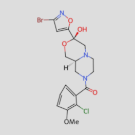 COc1cccc(C(=O)N2CCN3C[C@@](O)(c4cc(Br)no4)OC[C@@H]3C2)c1Cl